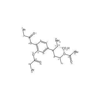 CC(C)CC(=O)Oc1ccc(C(CC(C)OC(=O)C(C)(C)C)[C@H](N)C(=O)O)cc1OC(=O)CC(C)C